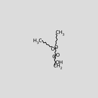 [CH2]CC(O)CCOC(=O)CCC(OCCCCCCCC)OCCCCCCCC